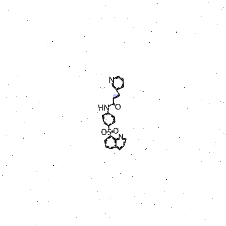 O=C(/C=C/c1cccnc1)Nc1ccc(S(=O)(=O)c2cccc3cccnc23)cc1